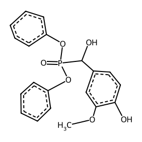 COc1cc(C(O)P(=O)(Oc2ccccc2)Oc2ccccc2)ccc1O